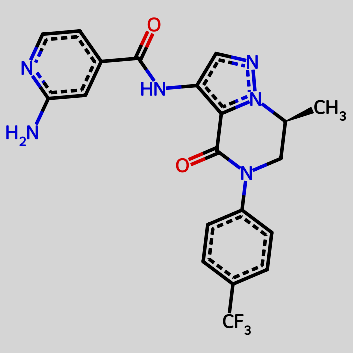 C[C@H]1CN(c2ccc(C(F)(F)F)cc2)C(=O)c2c(NC(=O)c3ccnc(N)c3)cnn21